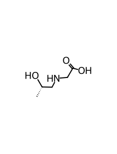 C[C@H](O)CNCC(=O)O